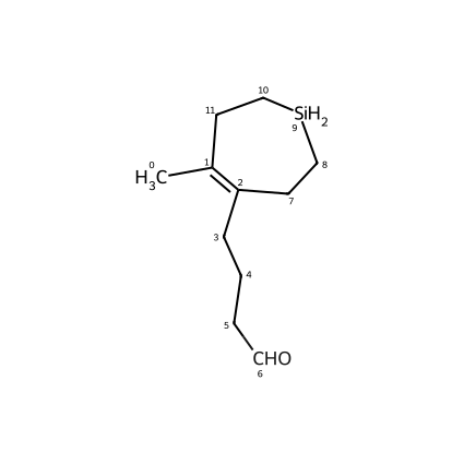 CC1=C(CCCC=O)CC[SiH2]CC1